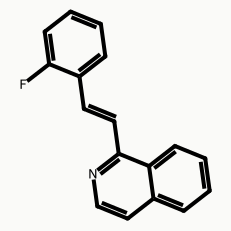 Fc1ccccc1/C=C/c1nccc2ccccc12